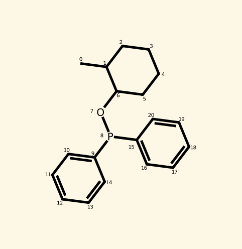 CC1CCCCC1OP(c1ccccc1)c1ccccc1